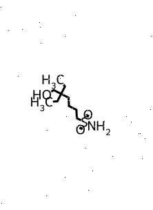 CCC(CC)(CO)CCCCS(N)(=O)=O